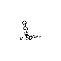 COc1ccc(OC)c(-c2nnc(N3CCC(N4CCCCC4)CC3)s2)c1